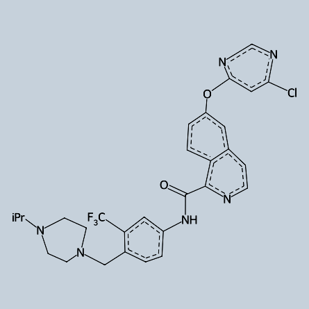 CC(C)N1CCN(Cc2ccc(NC(=O)c3nccc4cc(Oc5cc(Cl)ncn5)ccc34)cc2C(F)(F)F)CC1